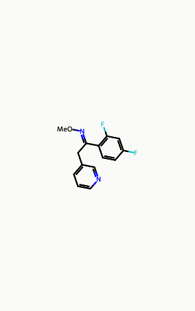 CO/N=C(\Cc1cccnc1)c1ccc(F)cc1F